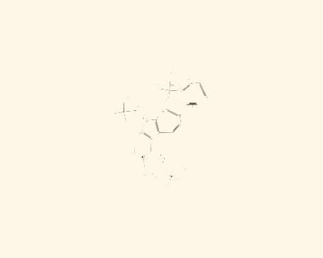 CC(F)(F)Cn1cc([C@H](N[S@@+]([O-])C(C)(C)C)C(F)(F)F)c2ccc(-c3ccccc3C(F)(F)F)cc21